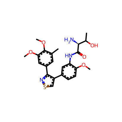 COc1ccc(-c2csnc2-c2cc(C)c(OC)c(OC)c2)cc1NC(=O)[C@@H](N)C(C)O